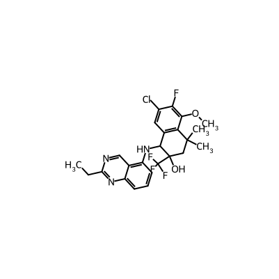 CCc1ncc2c(NC3c4cc(Cl)c(F)c(OC)c4C(C)(C)CC3(O)C(F)(F)F)cccc2n1